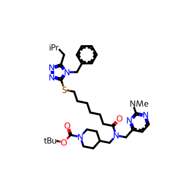 CNc1nccc(CN(CC2CCN(C(=O)OC(C)(C)C)CC2)C(=O)CCCCCCSc2nnc(CC(C)C)n2Cc2ccccc2)n1